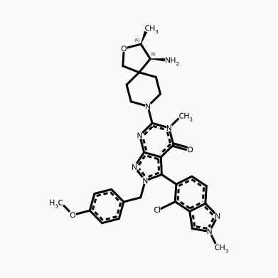 COc1ccc(Cn2nc3nc(N4CCC5(CC4)CO[C@@H](C)[C@H]5N)n(C)c(=O)c3c2-c2ccc3nn(C)cc3c2Cl)cc1